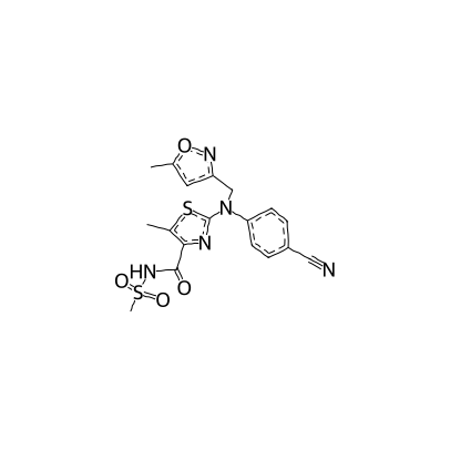 Cc1cc(CN(c2ccc(C#N)cc2)c2nc(C(=O)NS(C)(=O)=O)c(C)s2)no1